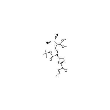 CCOC(=O)c1ccc(N(CCC(C(C#N)C#N)C(OC)OC)C(=O)OC(C)(C)C)s1